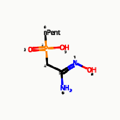 CCCCCP(=O)(O)CC(N)=NO